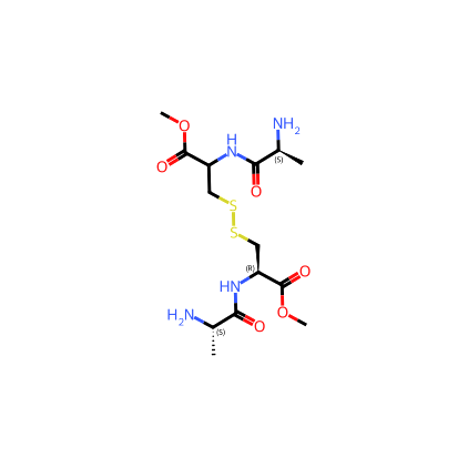 COC(=O)C(CSSC[C@H](NC(=O)[C@H](C)N)C(=O)OC)NC(=O)[C@H](C)N